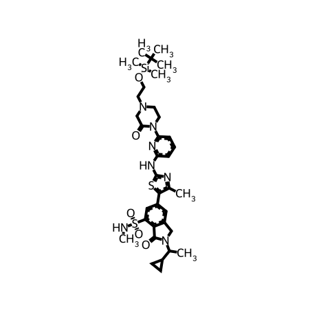 CNS(=O)(=O)c1cc(-c2sc(Nc3cccc(N4CCN(CCO[Si](C)(C)C(C)(C)C)CC4=O)n3)nc2C)cc2c1C(=O)N(C(C)C1CC1)C2